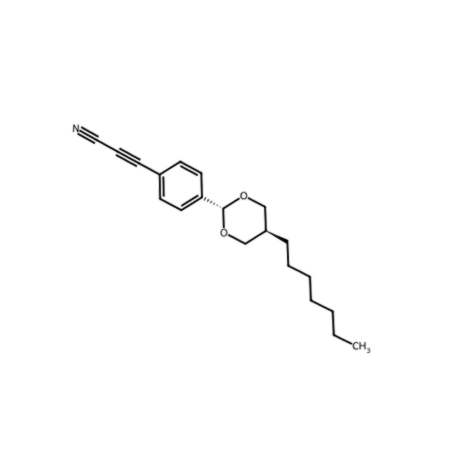 CCCCCCC[C@H]1CO[C@H](c2ccc(C#CC#N)cc2)OC1